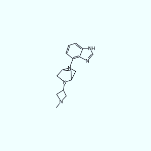 CN1CC(N2CC3CC2CN3c2cccc3[nH]cnc23)C1